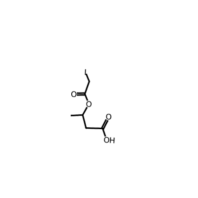 CC(CC(=O)O)OC(=O)CI